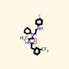 C[C@H](NC(=O)Cc1cccc(C(F)(F)F)c1)C(=O)N(CCNc1ccc(F)cc1)C1CCCCC1